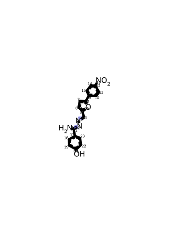 N/C(=N\N=C\c1ccc(-c2ccc([N+](=O)[O-])cc2)o1)c1ccc(O)cc1